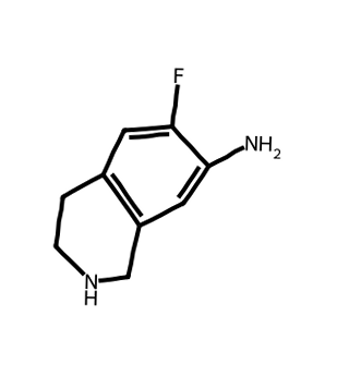 Nc1cc2c(cc1F)CCNC2